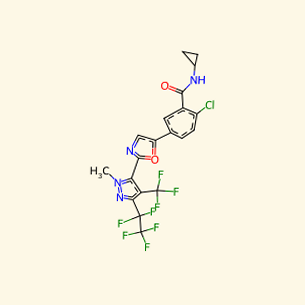 Cn1nc(C(F)(F)C(F)(F)F)c(C(F)(F)F)c1-c1ncc(-c2ccc(Cl)c(C(=O)NC3CC3)c2)o1